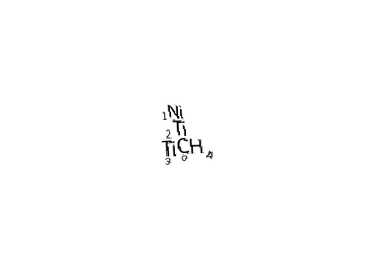 C.[Ni].[Ti].[Ti]